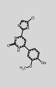 COc1cc(-c2cc(-c3ncc(Cl)s3)nc(=O)[nH]2)ccc1O